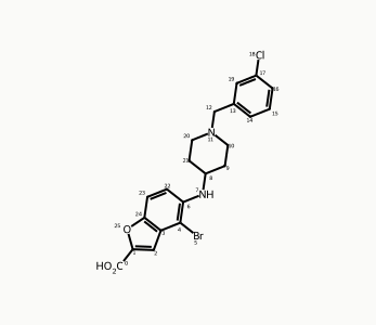 O=C(O)c1cc2c(Br)c(NC3CCN(Cc4cccc(Cl)c4)CC3)ccc2o1